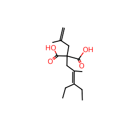 C=C(C)CC(CC(C)=C(CC)CC)(C(=O)O)C(=O)O